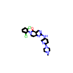 CN1CCN(c2ccc(Nc3ncc4c(=O)n(-c5c(Cl)cccc5Cl)ccc4n3)cn2)CC1